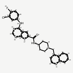 O=C(NC1CCN(Cc2ccnc3ccccc23)CC1)c1cc2c(Nc3ccc(F)c(Cl)c3)ncnc2s1